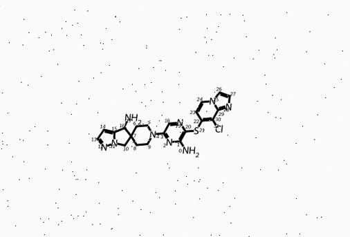 Nc1nc(N2CCC3(CC2)Cn2nccc2[C@H]3N)cnc1Sc1ccn2ccnc2c1Cl